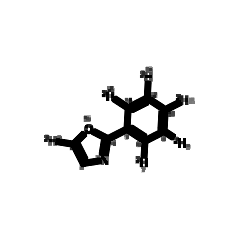 [2H]c1cnc(-c2c([2H])c([2H])c([2H])c([2H])c2[2H])o1